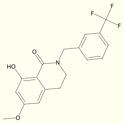 COc1cc(O)c2c(c1)CCN(Cc1cccc(C(F)(F)F)c1)C2=O